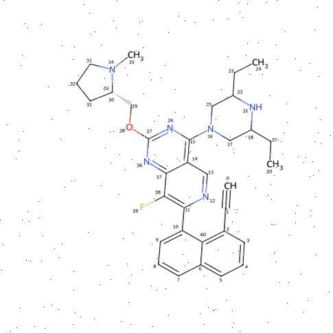 C#Cc1cccc2cccc(-c3ncc4c(N5CC(CC)NC(CC)C5)nc(OC[C@@H]5CCCN5C)nc4c3F)c12